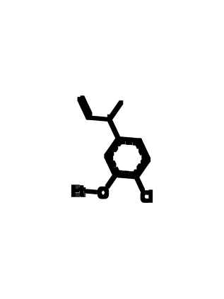 C=C[C](C)c1ccc(Cl)c(OCC)c1